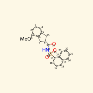 COc1cccc2c1CC(C(=O)NS(=O)(=O)c1cccc3ccccc13)C2